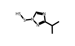 CC(C)c1ncn(SS)n1